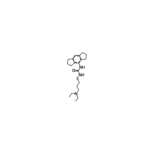 CCN(CC)CCCSNC(=O)Nc1c2c(cc3c1CCC3)CCC2